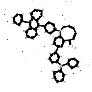 C=C1/C=C\C=C/CN(c2ccc(-c3c4ccccc4c(-c4ccccc4)c4ccccc34)cc2)c2ccc(-c3cccc(N(c4ccccc4)c4ccccc4)c3)cc21